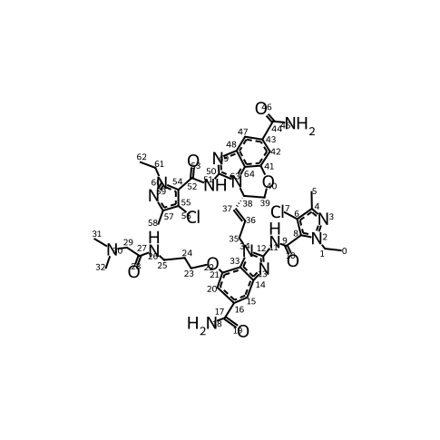 CCn1nc(C)c(Cl)c1C(=O)Nc1nc2cc(C(N)=O)cc(OCCCNC(=O)CN(C)C)c2n1C/C=C/[C@H]1COc2cc(C(N)=O)cc3nc(NC(=O)c4c(Cl)c(C)nn4CC)n1c23